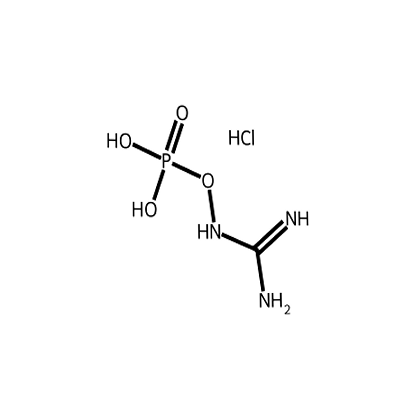 Cl.N=C(N)NOP(=O)(O)O